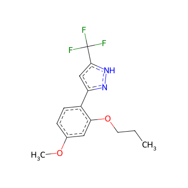 CCCOc1cc(OC)ccc1-c1cc(C(F)(F)F)[nH]n1